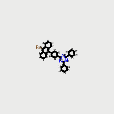 Brc1c2ccccc2c(-c2ccc(-c3nc(-c4ccccc4)nc(-c4ccccc4)n3)cc2)c2ccccc12